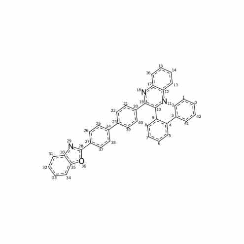 c1ccc(-c2ccccc2-c2nc3ccccc3nc2-c2ccc(-c3ccc(-c4nc5ccccc5o4)cc3)cc2)cc1